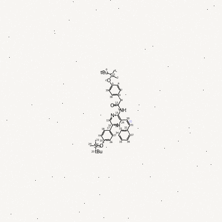 CC(C)(C)[Si](C)(C)Oc1ccc(CC(=O)Nc2ncc(-c3ccc(O[Si](C)(C)C(C)(C)C)cc3)nc2/C=C\c2ccccc2)cc1